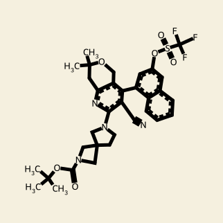 CC(C)(C)OC(=O)N1CC2(CCN(c3nc4c(c(-c5cc(OS(=O)(=O)C(F)(F)F)cc6ccccc56)c3C#N)COC(C)(C)C4)C2)C1